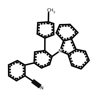 Cc1ccc(-c2cc(-c3ccccc3C#N)ccc2-n2c3ccccc3c3ccccc32)cc1